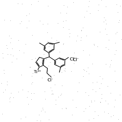 CCCC1=C(C(c2cc(C)cc(C)c2)c2cc(C)cc(C)c2)CC=[C]1[Ti+3].[Cl-].[Cl-].[Cl-]